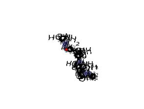 Nc1cc(O)ccc1/N=N/c1ccc(Nc2ccc(/N=N/c3c(S(=O)(=O)O)cc4cc(S(=O)(=O)O)c(/N=N/c5ccccc5)c(O)c4c3N)cc2S(=O)(=O)O)cc1